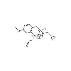 COc1ccc2c(c1)[C@]1(CC=O)CCN(CC3CC3)[C@H](C2)[C@@H]1C